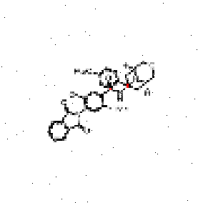 COc1ccc(CN2[C@@H]3COC[C@H]2C[C@@H](NC(=O)c2cc(Cl)c(N4C(=O)c5ccccc5C4=O)cc2OC)C3)cc1